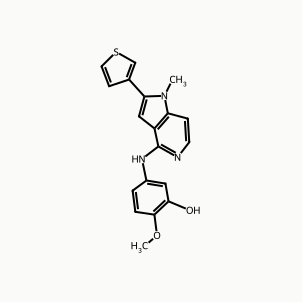 COc1ccc(Nc2nccc3c2cc(-c2ccsc2)n3C)cc1O